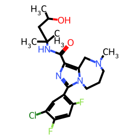 CC(O)CC(C)(C)NC(=O)c1nc(-c2cc(Cl)c(F)cc2F)n2c1CN(C)CCC2